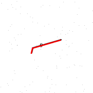 CCCCCCCC/C=C\CCCCCCCCCCCCOC(=O)CCCCCCCCCCCCCCCCCCCCCCCCCCCCCCCCC